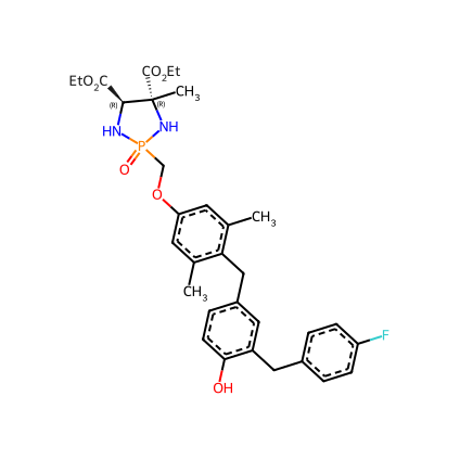 CCOC(=O)[C@@H]1NP(=O)(COc2cc(C)c(Cc3ccc(O)c(Cc4ccc(F)cc4)c3)c(C)c2)N[C@@]1(C)C(=O)OCC